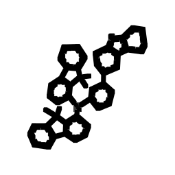 CC1(C)c2ccccc2-c2cccc(N(c3cccc(-c4ccc5sc6ccccc6c5c4)c3)c3cccc4c3C(C)(C)c3ccccc3-4)c21